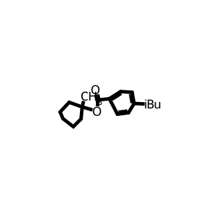 CCC(C)c1ccc(C(=O)OC2(C)CCCCC2)cc1